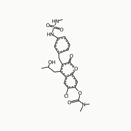 CNS(=O)(=O)Nc1cccc(Cc2c(CC(C)O)c3cc(Cl)c(OC(=O)N(C)C)cc3oc2=O)c1